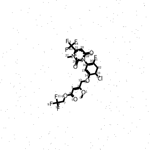 COC(=CC(=O)OCC(F)(F)F)COC1=CC(n2c(=O)cc(C(F)(F)F)n(C)c2=O)=C(F)CC1Cl